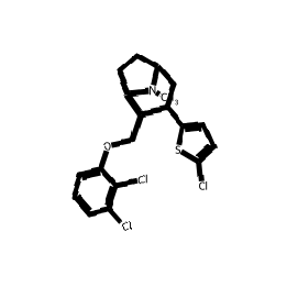 CN1C2CCC1C(COc1cccc(Cl)c1Cl)C(c1ccc(Cl)s1)C2